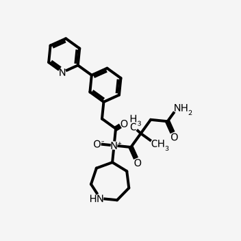 CC(C)(CC(N)=O)C(=O)[N+]([O-])(C(=O)Cc1cccc(-c2ccccn2)c1)C1CCCNCC1